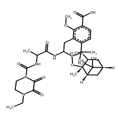 CCN1CCN(C(=O)NC(C)C(=O)NC(Cc2c(C(C)(C)C)ccc(C(=O)O)c2OC)B2OC3C[C@@H]4C[C@@H](C4(C)C)[C@]3(C)O2)C(=O)C1=O